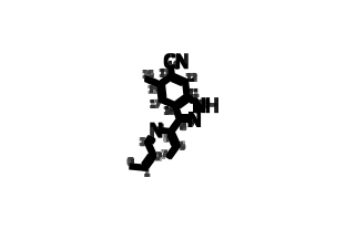 C\C=C/C=N\C(=C/C)c1n[nH]c2cc(C#N)c(C)cc12